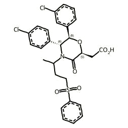 CC(CCS(=O)(=O)c1ccccc1)N1C(=O)[C@H](CC(=O)O)O[C@H](c2cccc(Cl)c2)[C@H]1c1ccc(Cl)cc1